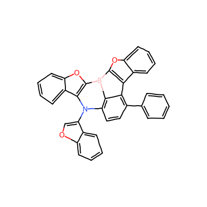 c1ccc(-c2ccc3c4c2-c2c(oc5ccccc25)B4c2oc4ccccc4c2N3c2coc3ccccc23)cc1